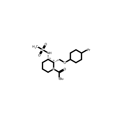 CC(C)C1CCC(OC[C@H]2[C@@H](NS(C)(=O)=O)CCCN2C(=O)C(C)(C)C)CC1